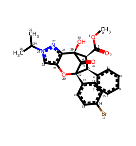 COC(=O)[C@H]1[C@@H](c2ccccc2)[C@]2(c3ccc(Br)cc3)Oc3cn(C(C)C)nc3[C@@]1(O)C2=O